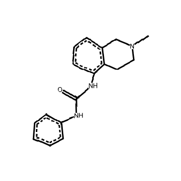 CN1CCc2c(cccc2NC(=O)Nc2ccccc2)C1